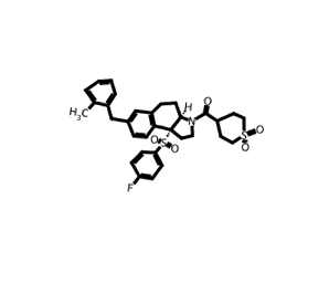 Cc1ccccc1Cc1ccc2c(c1)CC[C@H]1N(C(=O)C3CCS(=O)(=O)CC3)CC[C@@]21S(=O)(=O)c1ccc(F)cc1